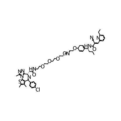 CCC[C@H](NC(=O)/C(C#N)=C/c1cccc(CC)n1)C1=CCC(OC/C=N/OCCOCCOCCOCCNC(=O)C[C@@H]2N=C(c3ccc(Cl)cc3)c3c(sc(C)c3C)-n3c(C)nnc32)C=C1